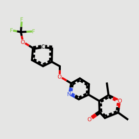 Cc1cc(=O)c(-c2ccc(OCc3ccc(OC(F)(F)F)cc3)nc2)c(C)o1